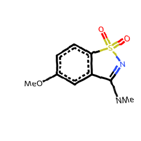 CNC1=NS(=O)(=O)c2ccc(OC)cc21